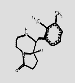 Cc1cccc([C@@H]2NCCN3C(=O)CC[C@@H]23)c1C